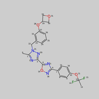 Cc1nc(-c2nc(-c3ccc(OC(C)(F)F)cc3)no2)nn1Cc1cccc(OC2COC2)c1